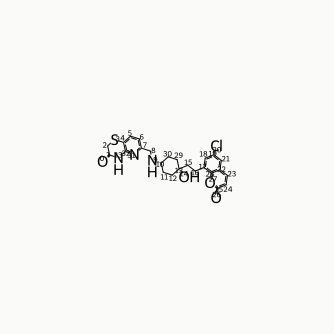 O=C1CSc2ccc(CN[C@H]3CC[C@](O)(CCc4cc(Cl)cc5ccc(=O)oc45)CC3)nc2N1